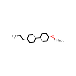 CCCCCCCO[C@H]1CC[C@H]([C@H]2CC[C@H](CCC(F)(F)F)CC2)CC1